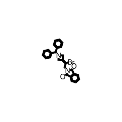 O=C1c2ccccc2C(=O)N1CC(Br)=C1CN(C(c2ccccc2)c2ccccc2)C1